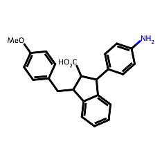 COc1ccc(CC2c3ccccc3C(c3ccc(N)cc3)C2C(=O)O)cc1